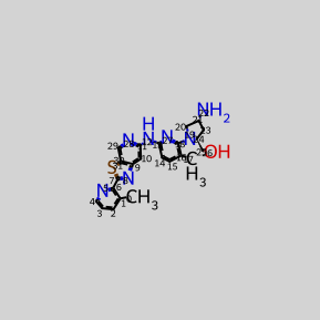 Cc1cccnc1-c1nc2cc(Nc3ccc(C)c(N4C[C@H](N)C[C@H]4CO)n3)ncc2s1